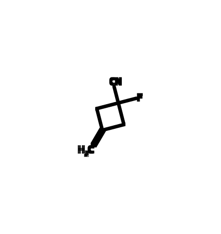 C=C1CC(F)(C#N)C1